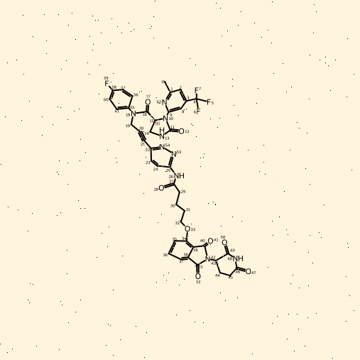 Cc1cc(C(F)(F)F)cc(N2C(=O)NC[C@H]2C(=O)N(CC#Cc2ccc(NC(=O)CCCCOc3cccc4c3C(=O)N(C3CCC(=O)NC3=O)C4=O)nn2)c2ccc(F)cc2)n1